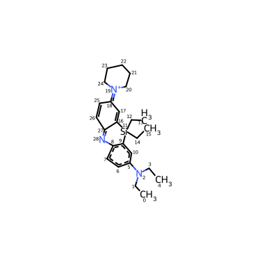 CCN(CC)c1ccc2c(c1)[Si](CC)(CC)C1=CC(=[N+]3CCCCC3)C=CC1=N2